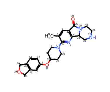 Cc1cc2c(nc1N1CCC(Oc3ccc4c(c3)COC4)CC1)C1CNCCN1C2=O